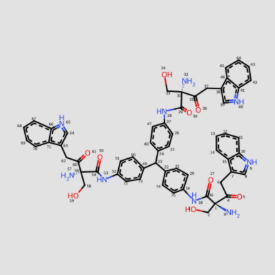 N[C@](CO)(C(=O)Cc1c[nH]c2ccccc12)C(=O)Nc1ccc(C(c2ccc(NC(=O)[C@@](N)(CO)C(=O)Cc3c[nH]c4ccccc34)cc2)c2ccc(NC(=O)[C@@](N)(CO)C(=O)Cc3c[nH]c4ccccc34)cc2)cc1